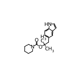 CC(C)(Cc1ccc2[nH]ccc2c1)OC(=O)N1CCCCC1